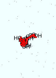 CCC(CO)OC(COC(=O)CCCC(=O)NC(C)C(=O)OCCCN(C)CN1c2cc(OC)c([C@@]3(C(=O)OC)CC4CN(CCc5c3[nH]c3ccccc53)CC(O)(CC)C4)cc2C23CCN4CC=C[C@](CC)(C42)[C@@H](O)[C@@H](O)C13)OC